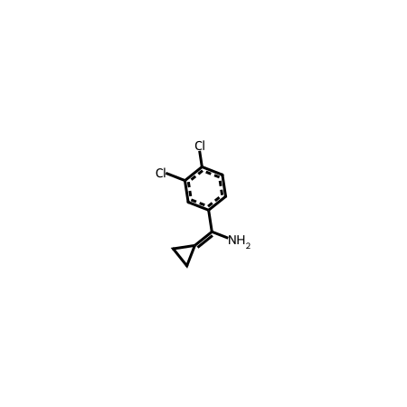 NC(=C1CC1)c1ccc(Cl)c(Cl)c1